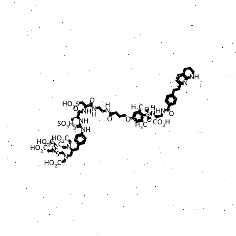 Cc1cc(OCCCC(=O)NCCNC(=O)C(CS(=O)(=O)O)NC(=O)[C@H](CS(=O)(=O)O)NC(=S)Nc2ccc(CC(CN(CSN(CC(=O)O)CC(=O)O)CC(=O)O)N(CC(=O)O)CC(=O)O)cc2)cc(C)c1S(=O)(=O)N[C@H](CNC(=O)c1ccc(CCc2ccc3c(n2)NCCC3)cc1)C(=O)O